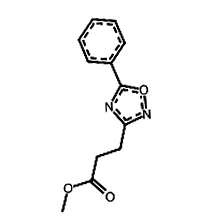 COC(=O)CCc1noc(-c2ccccc2)n1